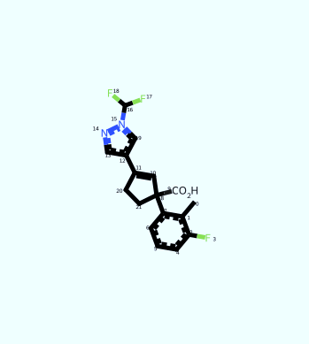 Cc1c(F)cccc1C1(C(=O)O)C=C(c2cnn(C(F)F)c2)CC1